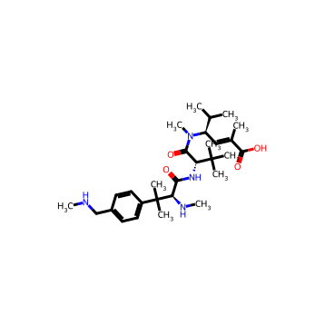 CNCc1ccc(C(C)(C)[C@H](NC)C(=O)N[C@H](C(=O)N(C)[C@H](/C=C(\C)C(=O)O)C(C)C)C(C)(C)C)cc1